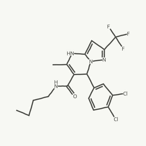 CCCCNC(=O)C1=C(C)Nc2cc(C(F)(F)F)nn2C1c1ccc(Cl)c(Cl)c1